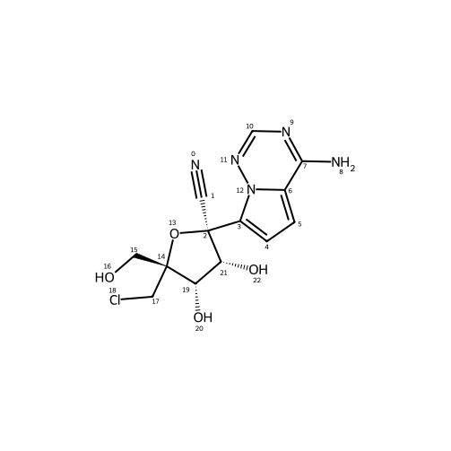 N#C[C@@]1(c2ccc3c(N)ncnn23)O[C@@](CO)(CCl)[C@@H](O)[C@H]1O